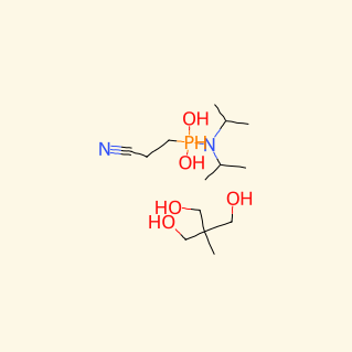 CC(C)N(C(C)C)[PH](O)(O)CCC#N.CC(CO)(CO)CO